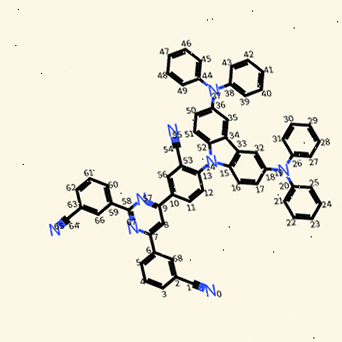 N#Cc1cccc(-c2cc(-c3ccc(-n4c5ccc(N(c6ccccc6)c6ccccc6)cc5c5cc(N(c6ccccc6)c6ccccc6)ccc54)c(C#N)c3)nc(-c3cccc(C#N)c3)n2)c1